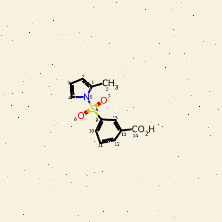 Cc1cccn1S(=O)(=O)c1cccc(C(=O)O)c1